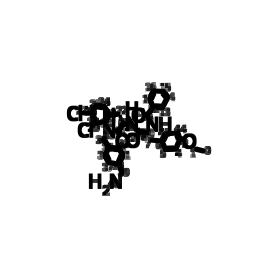 CCOc1ccc(C[C@@H](NC(=O)c2ccccc2)C(=O)N[C@@H](Cc2ccc(Cl)c(Cl)c2)C(=O)NCc2ccc(CN)cc2)cc1